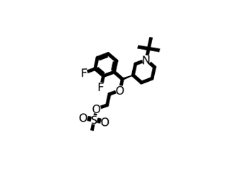 CC(C)(C)N1CCC[C@@H](C(OCCOS(C)(=O)=O)c2cccc(F)c2F)C1